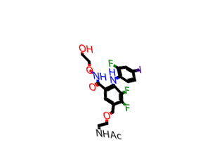 CC(=O)NCCOCc1cc(C(=O)NOCCO)c(Nc2ccc(I)cc2F)c(F)c1F